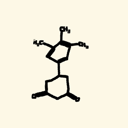 Cc1cc(C2CC(=O)CC(=O)C2)cc(C)c1C